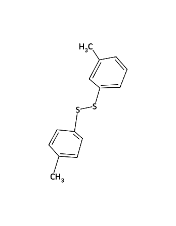 Cc1ccc(SSc2cccc(C)c2)cc1